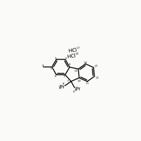 Cc1ccc2c(c1)C(C(C)C)(C(C)C)c1ccccc1-2.Cl.Cl